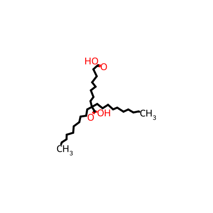 CCCCCCCCCCC(CCCCCCCCCC)(CCCCCCCC(=O)O)C(=O)O